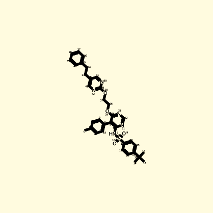 Cc1ccc(-c2c(NS(=O)(=O)c3ccc(C(C)(C)C)cc3)ncnc2OCCOc2ncc(CCc3ccccc3)cn2)cc1